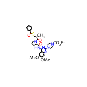 CCOC(=O)N1CCN(c2nc(NC(=O)C3CCCN3C(=O)C(C)CSC(=O)c3ccccc3)c3cc(OC)c(OC)cc3n2)CC1